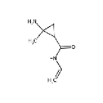 C=CNC(=O)C1CC1(C)N